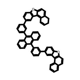 C1=Cc2c(ccc3oc4ccc(-c5cccc(-c6c7ccccc7c(-c7cccc(-c8ccc9oc%10ccc%11ccccc%11c%10c9c8)c7)c7ccccc67)c5)cc4c23)CC1